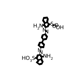 Nc1c(/N=N/c2ccc(-c3ccc(/N=N/c4cc(S(=O)(=O)O)c5ccccc5c4N)cc3)cc2)cc(SOOO)c2ccccc12